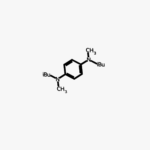 CCC(C)N(C)c1ccc(N(C)C(C)CC)cc1